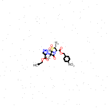 C#CCOC(=O)c1cnnn1C1(C)C(=O)N2[C@H]1S(=O)(=O)[C@H](C)[C@@H]2C(=O)OCc1ccc([N+](=O)[O-])cc1